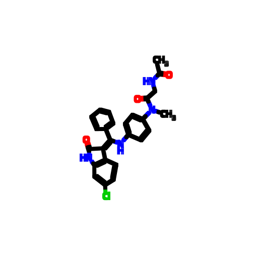 CC(=O)NCC(=O)N(C)c1ccc(NC(=C2C(=O)Nc3cc(Cl)ccc32)c2ccccc2)cc1